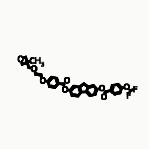 CC1(COCCOc2ccc(C(=O)Oc3ccc4c(c3)Cc3cc(OC(=O)c5ccc(OC(F)F)cc5)ccc3-4)cc2)COC1